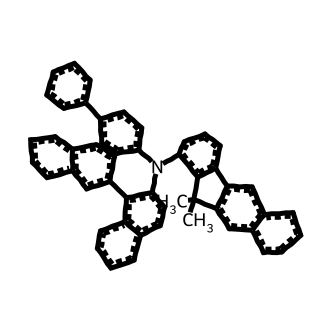 CC1(C)c2cc3ccccc3cc2-c2cccc(N(c3ccc(-c4ccccc4)cc3)c3ccc4ccccc4c3-c3ccc4ccccc4c3)c21